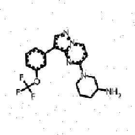 NC1CCCN(c2ccn3ncc(-c4cccc(OC(F)(F)F)c4)c3n2)C1